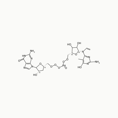 C=CN(c1nc(N)nc(O)c1C)[C@@H]1O[C@H](COO[PH](=O)OOOC[C@@H]2C[C@H](O)C(n3cnc4c(=O)[nH]c(N)nc43)O2)C(O)C1O